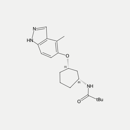 Cc1c(O[C@H]2CCC[C@@H](NC(=O)C(C)(C)C)C2)ccc2[nH]ncc12